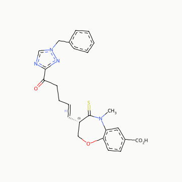 CN1C(=S)[C@@H](/C=C/CCC(=O)c2ncn(Cc3ccccc3)n2)COc2ccc(C(=O)O)cc21